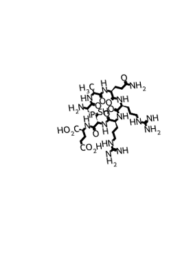 CC(C)[C@H](N)C(=O)N[C@@H](C)C(=O)N[C@@H](CCC(N)=O)C(=O)N[C@@H](CCCNC(=N)N)C(=O)N[C@@H](CCCNC(=N)N)C(=O)N[C@@H](CS)C(=O)N[C@@H](CCC(=O)O)C(=O)O